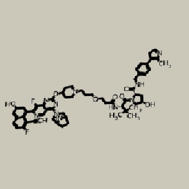 C#Cc1c(F)ccc2cc(O)cc(-c3ncc4c(N5CC6CCC(C5)N6)nc(OC5CCN(CCCOCCC(=O)N[C@H](C(=O)N6C[C@H](O)C[C@H]6C(=O)NCc6ccc(C7=C(C)N=CC7)cc6)C(C)(C)C)CC5)nc4c3F)c12